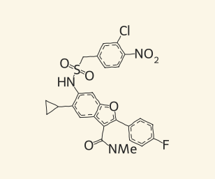 CNC(=O)c1c(-c2ccc(F)cc2)oc2cc(NS(=O)(=O)Cc3ccc([N+](=O)[O-])c(Cl)c3)c(C3CC3)cc12